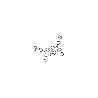 c1csc(-c2ccc(N(c3ccc(-c4cccs4)cc3)c3ccc4c(c3)C3(c5ccccc5-c5ccccc53)c3cc(N(c5ccc(-c6cccs6)cc5)c5ccc(-c6cccs6)cc5)ccc3-4)cc2)c1